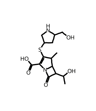 CC(O)C1C(=O)N2C(C(=O)O)=C(SC3CNC(CO)C3)C(C)C12